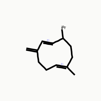 C=C1/C=C/C(C(C)C)CC/C(C)=C/CC1